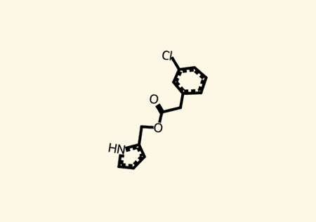 O=C(Cc1cccc(Cl)c1)OCc1ccc[nH]1